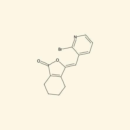 O=C1OC(=Cc2cccnc2Br)C2=C1CCCC2